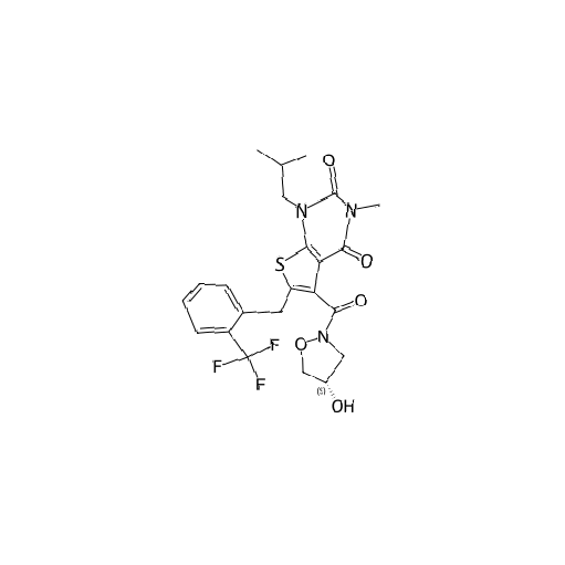 CC(C)Cn1c(=O)n(C)c(=O)c2c(C(=O)N3C[C@H](O)CO3)c(Cc3ccccc3C(F)(F)F)sc21